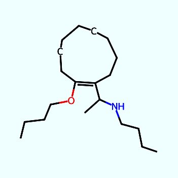 CCCCNC(C)/C1=C(\OCCCC)CCCCCCCC1